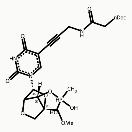 CCCCCCCCCCCC(=O)NCC#Cc1cn([C@@H]2O[C@]3(COC)COC2[C@@H]3O[PH](C)(O)O)c(=O)[nH]c1=O